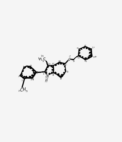 Cc1cccc(-c2[nH]c3ccc(OCc4ccccc4)cc3c2C)c1